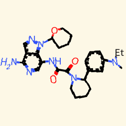 CCN(C)c1cccc(C2CCCCN2C(=O)C(=O)Nc2cnc(N)c3cnn(C4CCCCO4)c23)c1